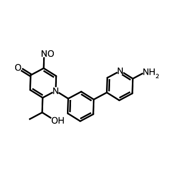 CC(O)c1cc(=O)c(N=O)cn1-c1cccc(-c2ccc(N)nc2)c1